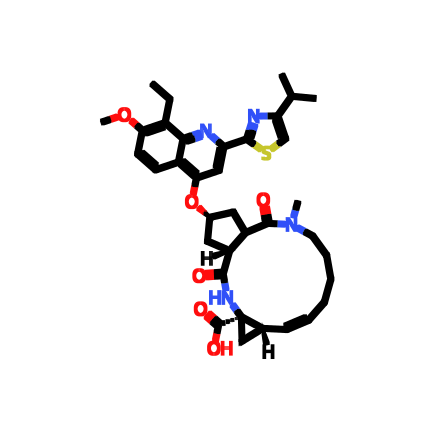 CCc1c(OC)ccc2c(O[C@H]3CC4C(=O)N(C)CCCC/C=C\[C@@H]5C[C@@]5(C(=O)O)NC(=O)[C@@H]4C3)cc(-c3nc(C(C)C)cs3)nc12